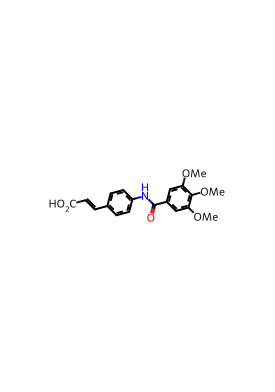 COc1cc(C(=O)Nc2ccc(/C=C/C(=O)O)cc2)cc(OC)c1OC